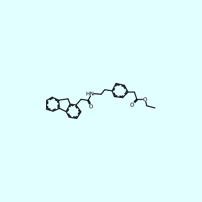 CCOC(=O)Cc1ccc(CCNC(=O)Cc2cccc3c2Cc2ccccc2-3)cc1